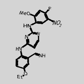 CCOc1ccc(Nc2ccnc(Nc3cc([N+](=O)[O-])c(F)cc3OC)n2)c(C=N)c1